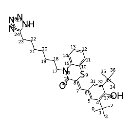 CC(C)(C)c1cc(C=C2Sc3ccccc3N(CCCCCCCc3nnn[nH]3)C2=O)cc(C(C)(C)C)c1O